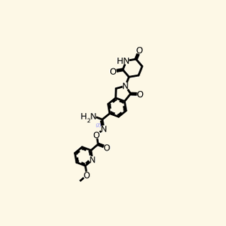 COc1cccc(C(=O)O/N=C(\N)c2ccc3c(c2)CN(C2CCC(=O)NC2=O)C3=O)n1